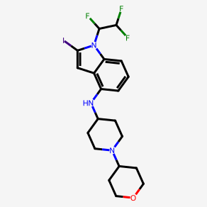 FC(F)C(F)n1c(I)cc2c(NC3CCN(C4CCOCC4)CC3)cccc21